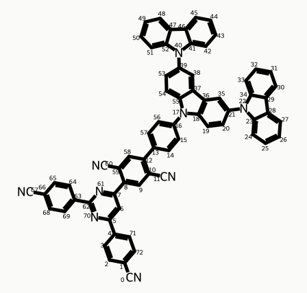 N#Cc1ccc(-c2cc(-c3cc(C#N)c(-c4ccc(-n5c6ccc(-n7c8ccccc8c8ccccc87)cc6c6cc(-n7c8ccccc8c8ccccc87)ccc65)cc4)cc3C#N)nc(-c3ccc(C#N)cc3)n2)cc1